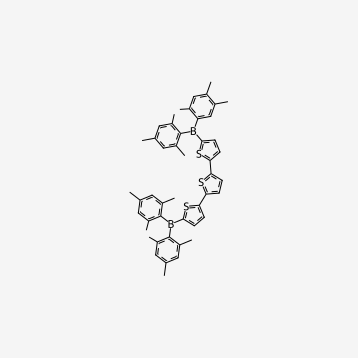 Cc1cc(C)c(B(c2ccc(-c3ccc(-c4ccc(B(c5c(C)cc(C)cc5C)c5c(C)cc(C)cc5C)s4)s3)s2)c2cc(C)c(C)cc2C)c(C)c1